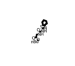 CCCCOC(=O)CNC(=O)Nc1nc2ccccc2s1